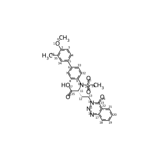 COc1ccc(-c2ccc(N([C@H](CCn3nnc4ccccc4c3=O)C(=O)O)S(C)(=O)=O)cc2)cc1C